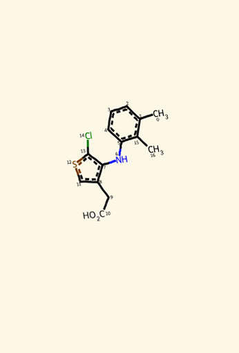 Cc1cccc(Nc2c(CC(=O)O)csc2Cl)c1C